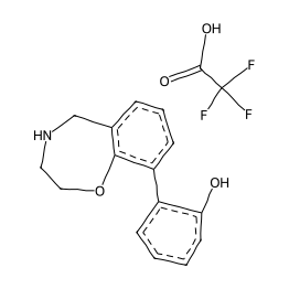 O=C(O)C(F)(F)F.Oc1ccccc1-c1cccc2c1OCCNC2